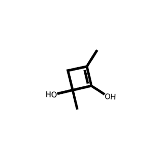 CC1=C(O)C(C)(O)C1